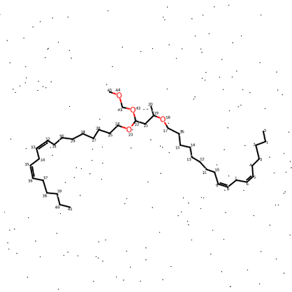 CCCCC/C=C\C/C=C\CCCCCCCCOC(C)CC(OCCCCCCCC/C=C\C/C=C\CCCCC)OCOC